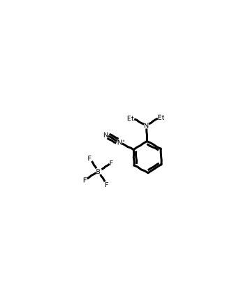 CCN(CC)c1ccccc1[N+]#N.F[B-](F)(F)F